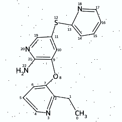 CCc1ncccc1Oc1cc(Sc2ccccn2)cnc1N